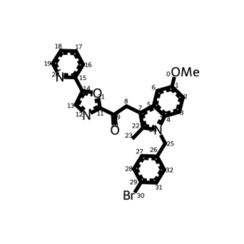 COc1ccc2c(c1)c(CC(=O)c1ncc(-c3ccccn3)o1)c(C)n2Cc1ccc(Br)cc1